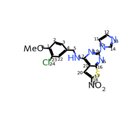 COc1ccc(CNc2nc(-n3ccnc3)nc3sc([N+](=O)[O-])cc23)cc1Cl